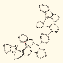 c1ccc(-c2cccc(-c3ccccc3N(c3ccc(-c4ccccc4-c4ccccc4-n4c5ccccc5c5ccccc54)cc3)c3cccc(-c4cccc5c4oc4ccccc45)c3)c2)cc1